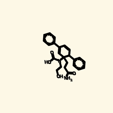 NC(=O)CCC1(N(CCO)C(=O)O)C=C(c2ccccc2)C=CC1c1ccccc1